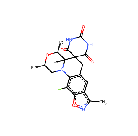 CC[C@@H]1CN2c3c(cc4c(C)noc4c3F)CC3(C(=O)NC(=O)NC3=O)[C@H]2[C@H](CC)O1